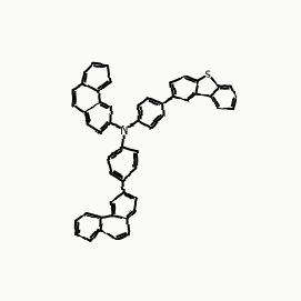 c1ccc2c(c1)ccc1ccc(-c3ccc(N(c4ccc(-c5ccc6sc7ccccc7c6c5)cc4)c4ccc5ccc6ccccc6c5c4)cc3)cc12